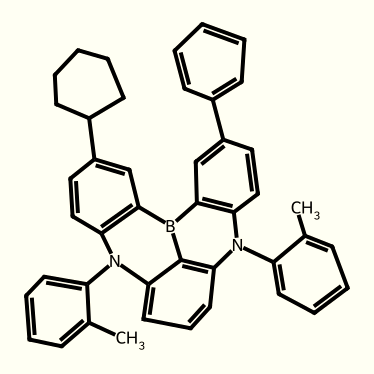 Cc1ccccc1N1c2ccc(-c3ccccc3)cc2B2c3cc(C4CCCCC4)ccc3N(c3ccccc3C)c3cccc1c32